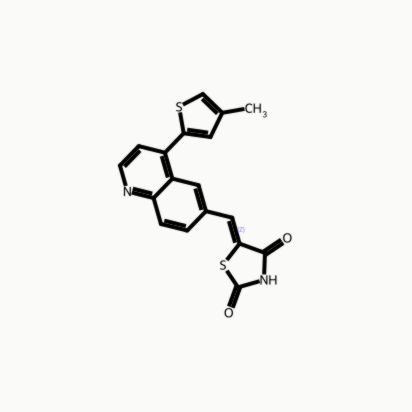 Cc1csc(-c2ccnc3ccc(/C=C4\SC(=O)NC4=O)cc23)c1